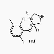 Cc1ccc(C)c2c1O[C@H]1CNC[C@@H]1O2.Cl